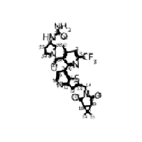 Cc1cc(C(F)(F)F)nc(-c2ccnc3cc(CN4C(=O)C5C(C4=O)C5(C)C)sc23)c1C(=O)N1CCC(NC(N)=O)C1